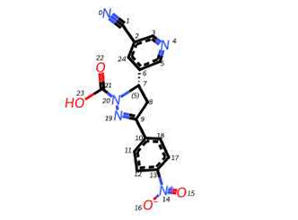 N#Cc1cncc([C@@H]2CC(c3ccc([N+](=O)[O-])cc3)=NN2C(=O)O)c1